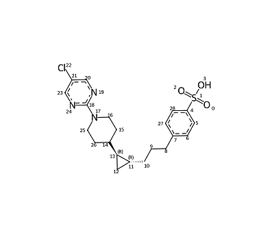 O=S(=O)(O)c1ccc(CCC[C@@H]2C[C@H]2C2CCN(c3ncc(Cl)cn3)CC2)cc1